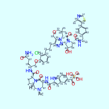 CC(=O)N1C[C@H]2CC[C@@H](C(=O)N[C@@H](CCC(N)=O)COc3cccc(CCCc4nnn5c4COCC(C)(C)[C@@H]5C(=O)N4C[C@H](O)C[C@H]4C(=O)N[C@@H](C)c4ccc(-c5scnc5C)cc4)c3Cl)N2C(=O)[C@@H](NC(=O)c2cc3cc(C(=O)P(=O)(O)O)ccc3[nH]2)C1